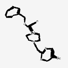 CC(=O)c1cnc(CN2CCN(C(=O)OCc3ccccc3)CC2)nc1